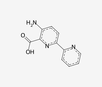 Nc1ccc(-c2ccccn2)nc1C(=O)O